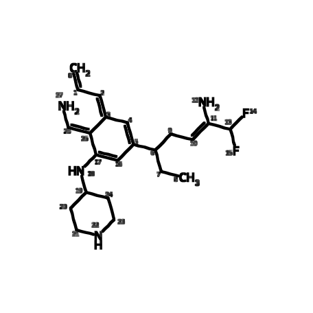 C=C/C=c1/cc(C(CC)C/C=C(\N)C(F)F)cc(NC2CCNCC2)/c1=C/N